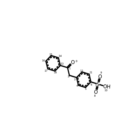 O=C([CH]c1ccc(S(=O)(=O)O)cc1)c1ccccc1